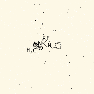 CS(=O)(=O)N[C@H]1CN(Cc2ccccc2)CC1(F)F